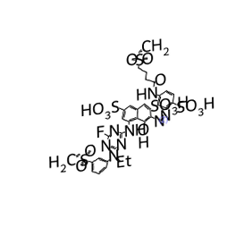 C=CS(=O)(=O)CCCC(=O)Nc1ccc(S(=O)(=O)O)c(/N=N\c2c(S(=O)(=O)O)cc3cc(S(=O)(=O)O)cc(Nc4nc(F)nc(N(CC)c5cccc(S(=O)(=O)C=C)c5)n4)c3c2O)c1